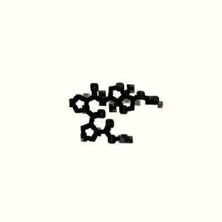 CC(C)(C)OC(=O)N1CSCC1C(=O)N1CSC[C@H]1C(=O)N[C@H]1CO[C@H]2[C@@H]1OC[C@@H]2O[N+](=O)[O-]